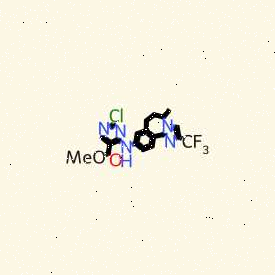 COC(=O)c1cnc(Cl)nc1Nc1ccc2c(c1)CCC(C)n1cc(C(F)(F)F)nc1-2